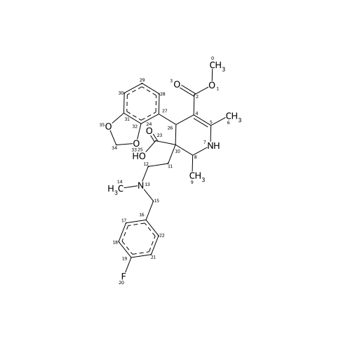 COC(=O)C1=C(C)NC(C)C(CCN(C)Cc2ccc(F)cc2)(C(=O)O)C1c1cccc2c1OCO2